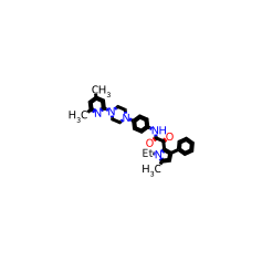 CCn1c(C)cc(-c2ccccc2)c1C(=O)C(=O)Nc1ccc(N2CCN(c3cc(C)cc(C)n3)CC2)cc1